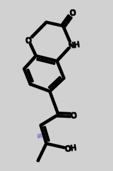 C/C(O)=C/C(=O)c1ccc2c(c1)NC(=O)CO2